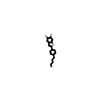 CCCCCc1ccc(-c2cc3cc(F)c(F)cc3o2)cc1